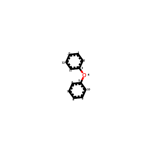 [c]1ccc(Oc2c[c]ccc2)cc1